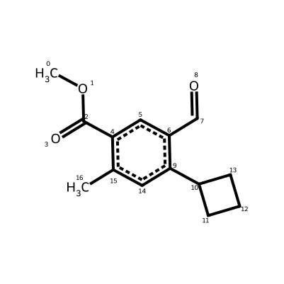 COC(=O)c1cc(C=O)c(C2CCC2)cc1C